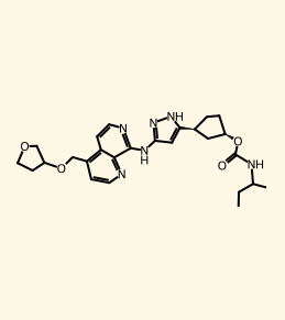 CCC(C)NC(=O)O[C@@H]1CC[C@H](c2cc(Nc3nccc4c(COC5CCOC5)ccnc34)n[nH]2)C1